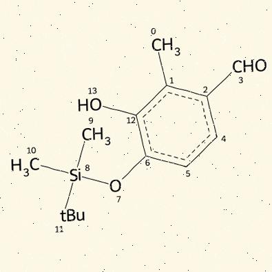 Cc1c(C=O)ccc(O[Si](C)(C)C(C)(C)C)c1O